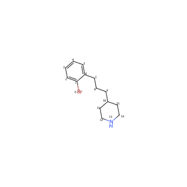 Brc1ccccc1[CH]CCC1CCNCC1